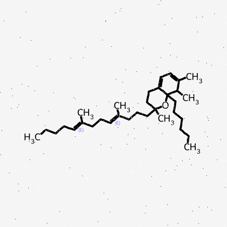 CCCC/C=C(\C)CC/C=C(\C)CCCC1(C)CCC2=CC=C(C)C(C)C2(CCCCCC)O1